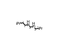 CC(C)CCNCPCC(C)C